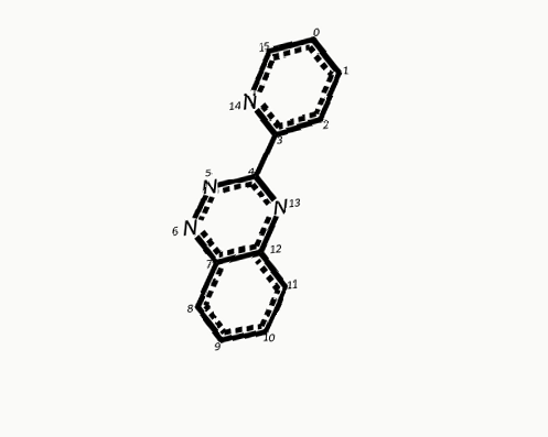 c1ccc(-c2nnc3ccccc3n2)nc1